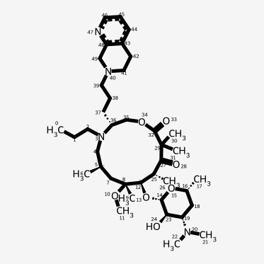 CCCN1C[C@H](C)C[C@@](C)(OC)[C@H](O[C@@H]2O[C@H](C)C[C@H](N(C)C)[C@H]2O)[C@@H](C)C(=O)C(C)(C)C(=O)OC[C@H]1CCCN1CCc2cccnc2C1